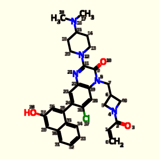 C=CC(=O)N1CC(Cn2c(=O)c(N3CCC(N(C)C)CC3)nc3cc(-c4cc(O)cc5ccccc45)c(Cl)cc32)C1